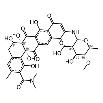 CO[C@@H]1[C@@H](O)[C@@H](CO)C(NC2=CC(=O)c3c(cc4c(c3O)C(=O)[C@]3(OC)[C@H](O)Cc5cc(C)c(C(=O)N(C)C)c(O)c5[C@]3(O)C4=O)C2=O)O[C@H]1C